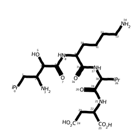 CC(C)CC(N)C(O)C(=O)NC(CCCCN)C(=O)NC(C(=O)NC(CC(=O)O)C(=O)O)C(C)C